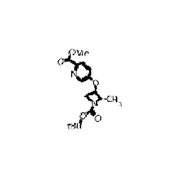 COC(=O)c1ccc(O[C@@H]2CN(C(=O)OC(C)(C)C)[C@H]2C)cn1